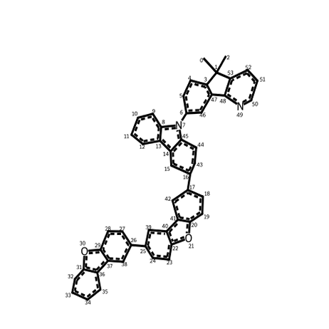 CC1(C)c2ccc(-n3c4ccccc4c4cc(-c5ccc6oc7ccc(-c8ccc9oc%10ccccc%10c9c8)cc7c6c5)ccc43)cc2-c2ncccc21